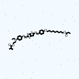 C=C(C)C(=O)OCCN(CC)c1ccc(N=Nc2nc3sc(N=Nc4ccc(OCCCCCCCCCOC(=O)CC)cc4)cc3s2)cc1